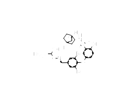 CC(ON=Cc1cc(Br)c(Oc2ccc(O)c(S(=O)(=O)N[C@@H]3C[C@H]4CC[C@@H]3C4)c2)c(Br)c1)C(=O)O